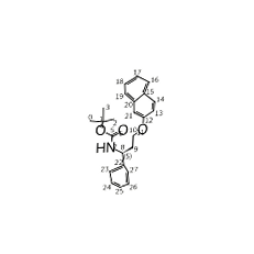 CC(C)(C)OC(=O)N[C@@H](CCOc1ccc2ccccc2c1)c1ccccc1